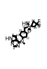 CN(c1ncnc2[nH]ccc12)C1CCC(CS(=N)(=O)C2CC(F)(F)C2)CC1